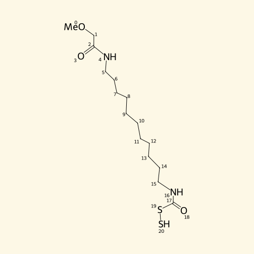 COCC(=O)NCCCCCCCCCCCNC(=O)SS